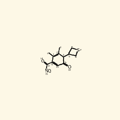 CC1=C(C)C(C2CSC2)C(=O)C=C1C(=O)N=O